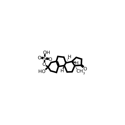 C[C@]12CC[C@@H]3C4=C(CC[C@H]3[C@@H]1CCC2=O)CC(O)(OS(=O)(=O)O)CC4